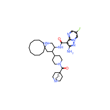 Nc1nn2cc(F)cnc2c1C(=O)NC1CNC2(CCCCCCCCC2)CC1C1CCN(C(=O)C23CCN(CC2)CC3)CC1